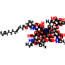 CCCCCCC#CCCCOc1cccc(C(=O)N[C@@H]2C(O[C@H]3C(O)C(NC(C)=O)[C@H](OC(C)C(CO)O[C@@H](O[C@H]4C(O)C(NC(C)=O)C(OC5C(CO[C@@H]6OC(C)C(O)[C@H](O)[C@H]6OC)OC(O)[C@@H](NC(C)=O)[C@H]5O)O[C@H]4CO)C(O)NC(C)=O)O[C@H]3CO)OC(CO)[C@@H](O)[C@@H]2O)c1